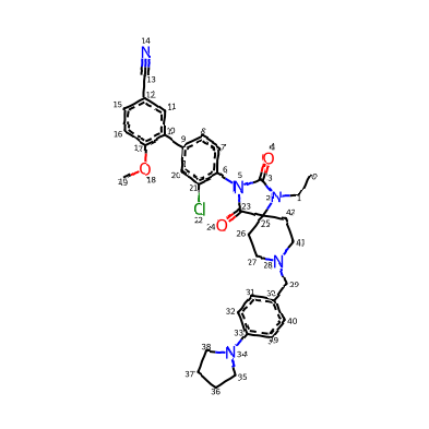 CCN1C(=O)N(c2ccc(-c3cc(C#N)ccc3OC)cc2Cl)C(=O)C12CCN(Cc1ccc(N3CCCC3)cc1)CC2